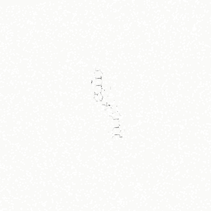 O=S(=O)(c1ccc(Oc2ccc(Cl)c(Cl)c2)cc1)N1CCc2c(ccnc2Nc2cnc3ccccc3c2)C1